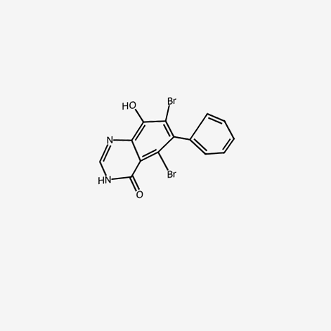 O=c1[nH]cnc2c(O)c(Br)c(-c3ccccc3)c(Br)c12